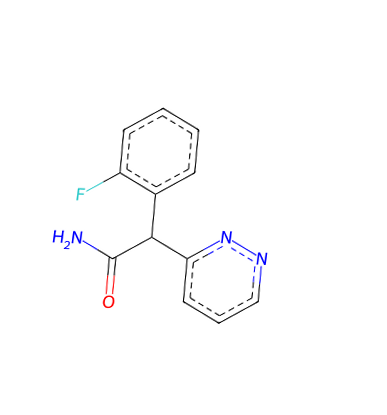 NC(=O)C(c1cccnn1)c1ccccc1F